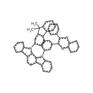 CC1(C)c2ccccc2-c2ccc(-n3c4ccccc4c4ccc5c6ccccc6n(-c6cccc(-c7nc8ccccc8nc7-c7ccccc7)c6)c5c43)cc21